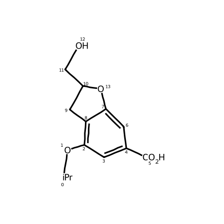 CC(C)Oc1cc(C(=O)O)cc2c1CC(CO)O2